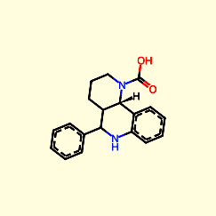 O=C(O)N1CCCC2C(c3ccccc3)Nc3ccccc3[C@H]21